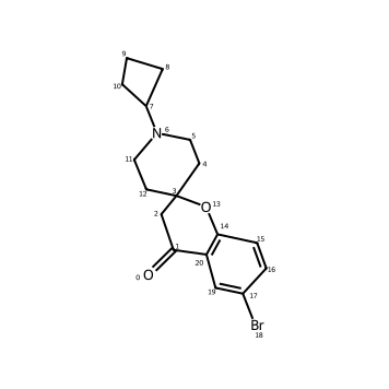 O=C1CC2(CCN(C3CCC3)CC2)Oc2ccc(Br)cc21